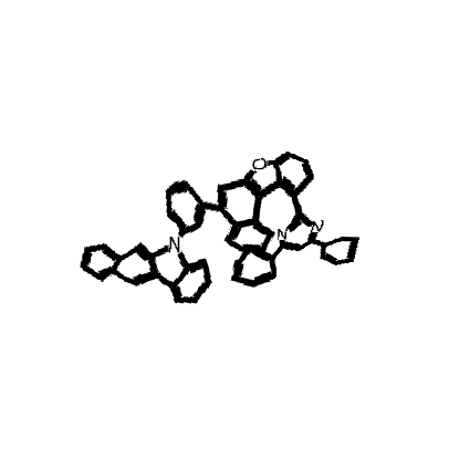 C1=CCC(c2cc(-c3ccccc3)nc(-c3cccc4oc5cc(-c6cccc(-n7c8ccccc8c8cc9ccccc9cc87)c6)c6ccccc6c5c34)n2)C=C1